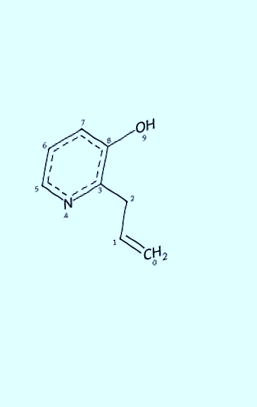 C=CCc1ncccc1O